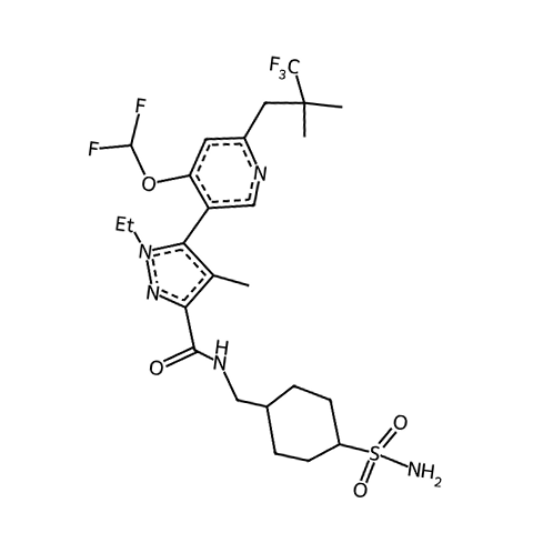 CCn1nc(C(=O)NCC2CCC(S(N)(=O)=O)CC2)c(C)c1-c1cnc(CC(C)(C)C(F)(F)F)cc1OC(F)F